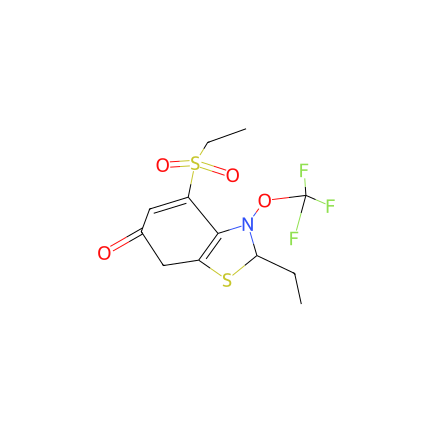 CCC1SC2=C(C(S(=O)(=O)CC)=CC(=O)C2)N1OC(F)(F)F